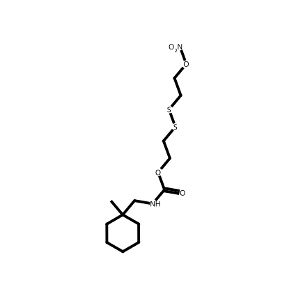 CC1(CNC(=O)OCCSSCCO[N+](=O)[O-])CCCCC1